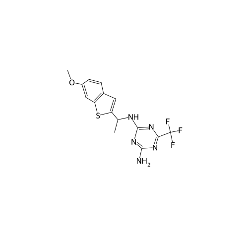 COc1ccc2cc(C(C)Nc3nc(N)nc(C(F)(F)F)n3)sc2c1